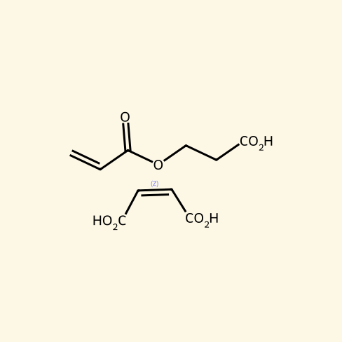 C=CC(=O)OCCC(=O)O.O=C(O)/C=C\C(=O)O